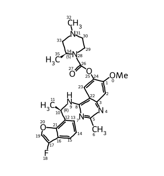 COc1cc2nc(C)nc(N[C@H](C)c3cccc4c(F)coc34)c2cc1OC(=O)N1CCN(C)C[C@@H]1C